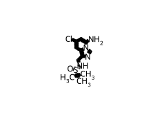 CC(C)(C)[S+]([O-])NCc1ncn2c(N)cc(Cl)cc12